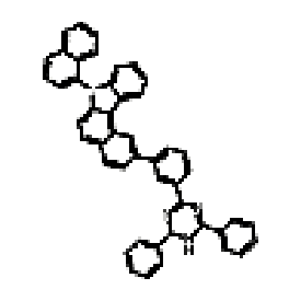 c1ccc(C2=NC(c3cccc(-c4ccc5ccc6c(c5c4)c4ccccc4n6-c4cccc5ccccc45)c3)=NC(c3ccccc3)N2)cc1